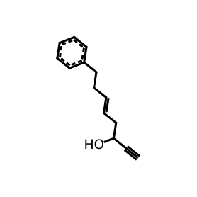 C#CC(O)CC=CCCc1ccccc1